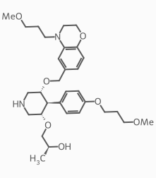 COCCCOc1ccc([C@@H]2[C@@H](OCc3ccc4c(c3)N(CCCOC)CCO4)CNC[C@H]2OC[C@H](C)O)cc1